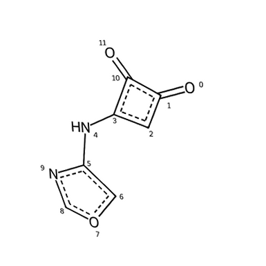 O=c1cc(Nc2cocn2)c1=O